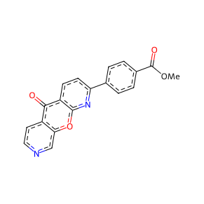 COC(=O)c1ccc(-c2ccc3c(=O)c4ccncc4oc3n2)cc1